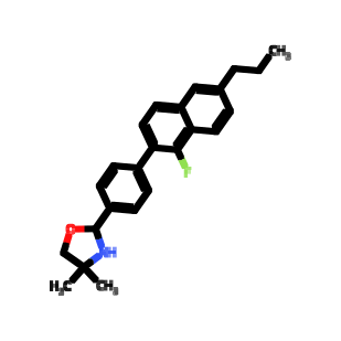 CCCc1ccc2c(F)c(-c3ccc(C4NC(C)(C)CO4)cc3)ccc2c1